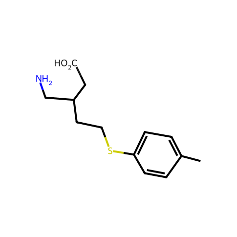 Cc1ccc(SCCC(CN)CC(=O)O)cc1